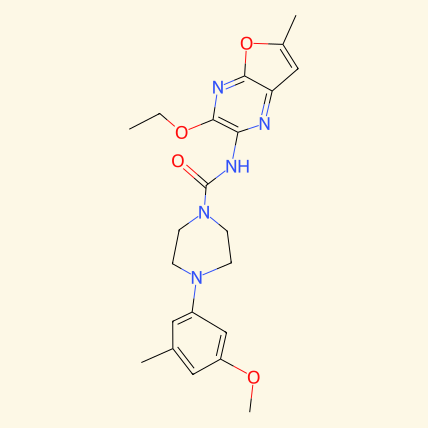 CCOc1nc2oc(C)cc2nc1NC(=O)N1CCN(c2cc(C)cc(OC)c2)CC1